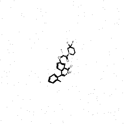 Cc1ccccc1-c1c[nH]c(=O)c2cc(O[C@H](C)C(=O)N3CCCC(F)(F)C3)ccc12